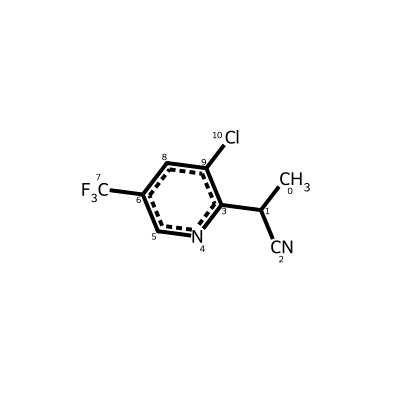 CC(C#N)c1ncc(C(F)(F)F)cc1Cl